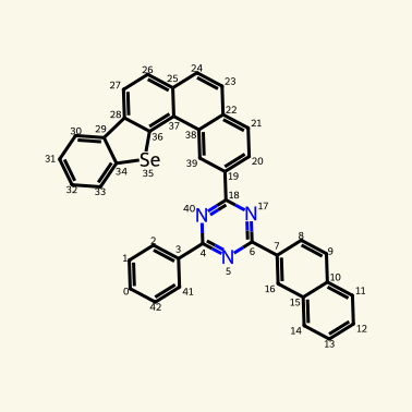 c1ccc(-c2nc(-c3ccc4ccccc4c3)nc(-c3ccc4ccc5ccc6c7ccccc7[se]c6c5c4c3)n2)cc1